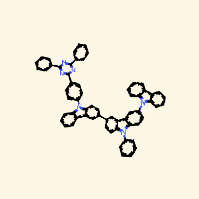 c1ccc(-c2nc(-c3ccccc3)nc(-c3ccc(-n4c5ccccc5c5cc(-c6ccc7c(c6)c6cc(-n8c9ccccc9c9ccccc98)ccc6n7-c6ccccc6)ccc54)cc3)n2)cc1